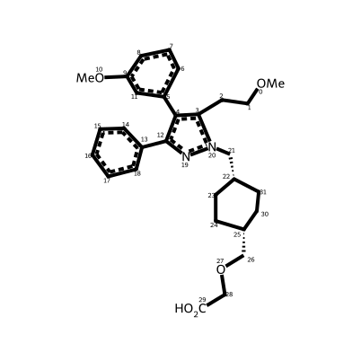 COCCc1c(-c2cccc(OC)c2)c(-c2ccccc2)nn1C[C@H]1CC[C@@H](COCC(=O)O)CC1